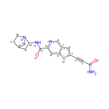 NC(=O)C#Cc1cc2cnc(C(=O)NC3CC4CCN3C4)cc2s1